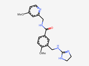 COc1ccnc(CNC(=O)c2ccc(OC)c(CNC3=NCCN3)c2)c1